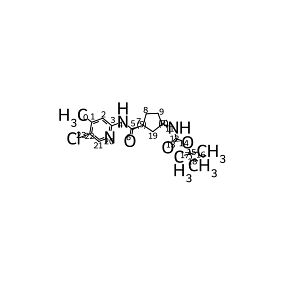 Cc1cc(NC(=O)[C@H]2CC[C@@H](NC(=O)OC(C)(C)C)C2)ncc1Cl